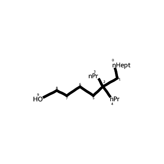 CCCCCCCCC(CCC)(CCC)CCCCO